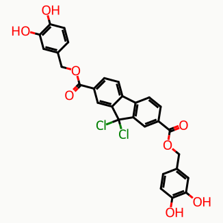 O=C(OCc1ccc(O)c(O)c1)c1ccc2c(c1)C(Cl)(Cl)c1cc(C(=O)OCc3ccc(O)c(O)c3)ccc1-2